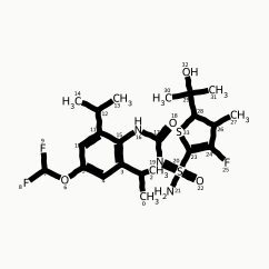 CC(C)c1cc(OC(F)F)cc(C(C)C)c1NC(=O)N=S(N)(=O)C1=C(F)C(C)C(C(C)(C)O)S1